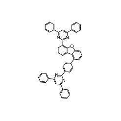 c1ccc(-c2cc(-c3ccccc3)nc(-c3ccc(-c4cccc5oc6c(-c7nc(-c8ccccc8)cc(-c8ccccc8)n7)cccc6c45)cc3)n2)cc1